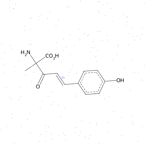 CC(N)(C(=O)O)C(=O)/C=C/c1ccc(O)cc1